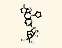 C[C@@H]1C(Nc2ncc3c(n2)N(C2CCCC2)C(=O)[C@]2(CCNC2=O)C3)CC2CC1C2(C)C